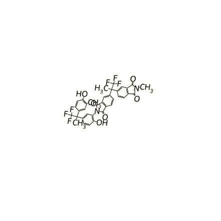 Cc1cc(C(C)(c2ccc(O)c(N3C(=O)c4ccc(C(C)(c5ccc6c(c5)C(=O)N(C)C6=O)C(F)(F)F)cc4C3=O)c2)C(F)(F)F)ccc1O